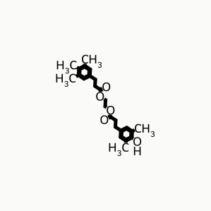 Cc1cc(CCC(=O)OCCOC(=O)CCc2cc(C)c(O)c(C)c2)cc(C)c1C